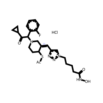 CC(=O)SC1CCN(C(C(=O)C2CC2)c2ccccc2F)C/C1=C/c1cn(CCCCC(=O)NO)nn1.Cl